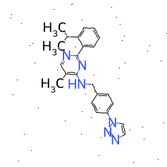 Cc1cnc(-c2ccccc2C(C)C)nc1NCc1ccc(-n2ccnn2)cc1